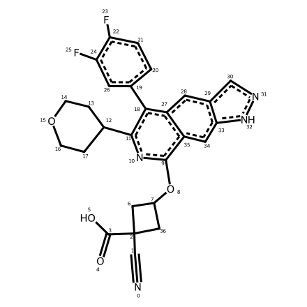 N#CC1(C(=O)O)CC(Oc2nc(C3CCOCC3)c(-c3ccc(F)c(F)c3)c3cc4cn[nH]c4cc23)C1